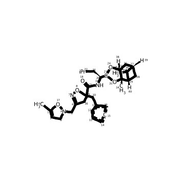 CC1=CCN(CC2=NOC(Cc3ccccc3)(C(=O)N[C@@H](CC(C)C)B3O[C@@H]4C[C@@H]5C[C@@H](C5(C)C)[C@]4(C)O3)C2)O1